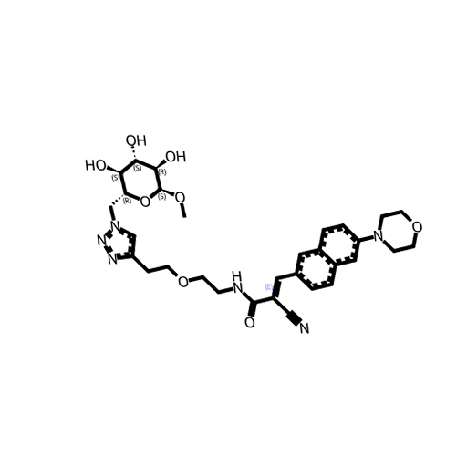 CO[C@H]1O[C@H](Cn2cc(CCOCCNC(=O)/C(C#N)=C/c3ccc4cc(N5CCOCC5)ccc4c3)nn2)[C@@H](O)[C@H](O)[C@H]1O